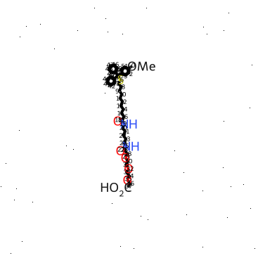 COc1ccc(C(SCCCCCCCCCCC(=O)NCCCCCNC(=O)COCCOCCOCC(=O)O)(c2ccccc2)c2ccccc2)cc1